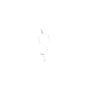 CCCC(=O)C[S+]1CCC(=O)CC1